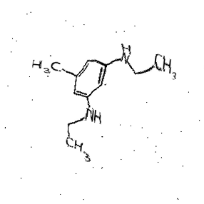 CCNc1[c]c(NCC)cc(C)c1